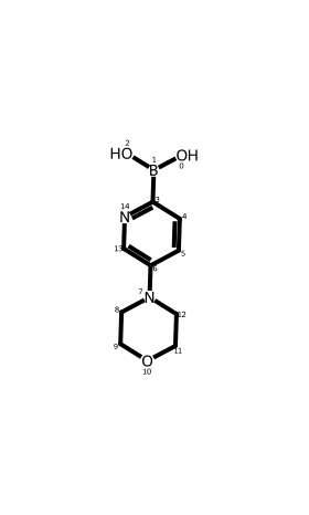 OB(O)c1ccc(N2CCOCC2)cn1